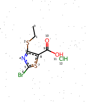 CCSc1nc(Br)sc1C(=O)O.Cl